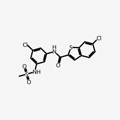 CS(=O)(=O)Nc1cc(Cl)cc(NC(=O)c2cc3ccc(Cl)cc3s2)c1